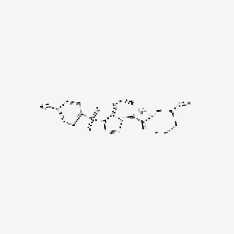 Cc1ccc(S(=O)(=O)n2ccc3c(NC4(C)CCCN(C(=O)O)C4)ncnc32)cc1